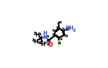 [2H]C([2H])([2H])NC(=O)c1cc(C)c(N)cc1F